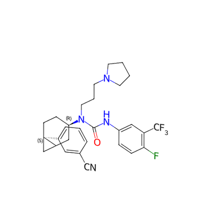 N#Cc1cccc([C@]23CC[C@@H](N(CCCN4CCCC4)C(=O)Nc4ccc(F)c(C(F)(F)F)c4)CC2C3)c1